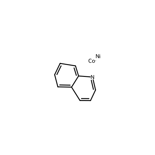 [Co].[Ni].c1ccc2ncccc2c1